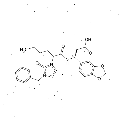 CCCCC(C(=O)N[C@@H](CC(=O)O)c1ccc2c(c1)OCO2)n1ccn(Cc2ccccc2)c1=O